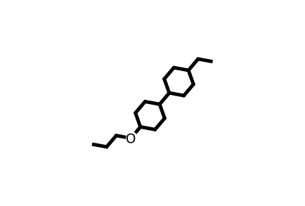 CCCOC1CCC(C2CCC(CC)CC2)CC1